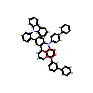 c1ccc(-c2ccc(N(c3ccc(-c4cccc(-c5ccccc5)c4)cc3)c3ccc(-c4ccccc4-n4c5ccccc5c5ccccc54)cc3-c3cccc4ccccc34)cc2)cc1